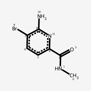 CNC(=O)c1ccc(Br)c(N)n1